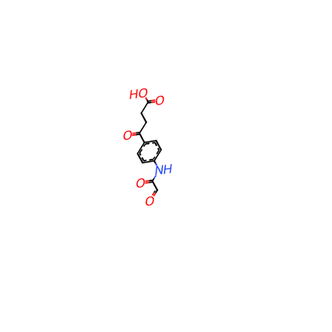 O=CC(=O)Nc1ccc(C(=O)CCC(=O)O)cc1